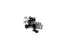 CCCN(Cc1cc2c(cc1C)OCO2)C(=O)[C@@H](OC(=O)c1ccccc1)[C@@H](CC=O)O[C@@H]1O[C@H](COC(=O)c2ccccc2)[C@@H](OC)[C@H](OC)[C@H]1OC